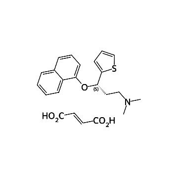 CN(C)CC[C@H](Oc1cccc2ccccc12)c1cccs1.O=C(O)C=CC(=O)O